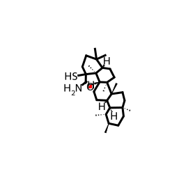 C[C@@H]1[C@H]2[C@H]3CC[C@@H]4[C@]5(C)[C@@H](CC[C@@]4(C)[C@]3(C)CC[C@@]2(C)CC[C@H]1C)C(C)(C)CCC5(S)C(N)=O